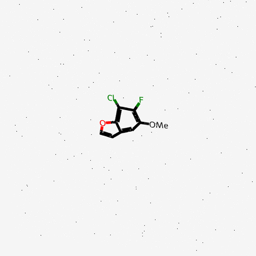 COc1cc2ccoc2c(Cl)c1F